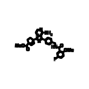 COC(=O)C12CCC(c3nc(-c4ccc(CNC(=O)c5cc(F)ccc5OC)cc4)c4c(N)nccn34)(CC1)C2